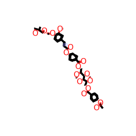 COc1cc(/C=C/C(=O)Oc2ccc(C(=O)OCC3OCOC4C(COC(=O)c5ccc(OC(C)=O)cc5)OCOC34)cc2)ccc1OCOCC1(C)CO1